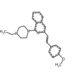 CCN1CCN(c2nc(/C=C/c3ccc(OC)cc3)cc3ccccc23)CC1